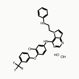 Cl.Cl.FC(F)(F)c1cccc(Oc2ccc(Nc3ncnc4ccn(CCNc5ccccc5)c34)cc2Cl)c1